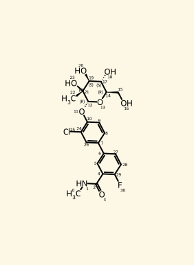 CNC(=O)c1cc(-c2ccc(O[C@H]3O[C@H](CO)[C@@H](O)[C@H](O)[C@@]3(C)O)c(Cl)c2)ccc1F